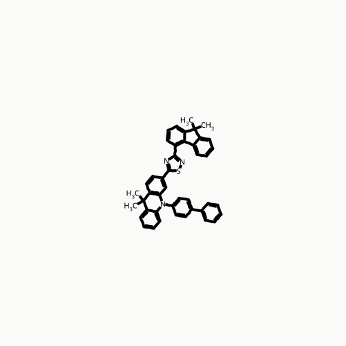 CC1(C)c2ccccc2N(c2ccc(-c3ccccc3)cc2)c2cc(-c3nc(-c4cccc5c4-c4ccccc4C5(C)C)ns3)ccc21